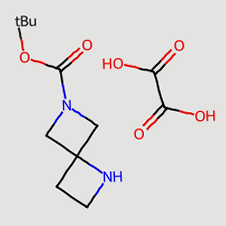 CC(C)(C)OC(=O)N1CC2(CCN2)C1.O=C(O)C(=O)O